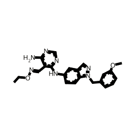 CCON=Cc1c(N)ncnc1Nc1ccc2c(cnn2Cc2cccc(OC)c2)c1